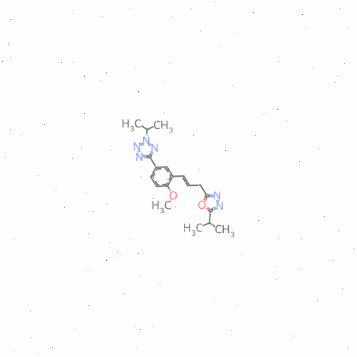 COc1ccc(-c2nnn(C(C)C)n2)cc1/C=C/Cc1nnc(C(C)C)o1